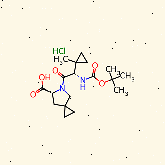 CC(C)(C)OC(=O)N[C@H](C(=O)N1CC2(CC2)C[C@H]1C(=O)O)C1(C)CC1.Cl